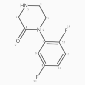 O=C1CNCCN1c1cc(F)ccc1F